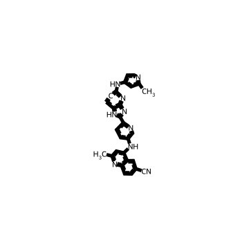 Cc1cc(Nc2ccc3[nH]c(-c4ccc(Nc5cc(C)nc6ccc(C#N)cc56)cn4)nc3n2)ccn1